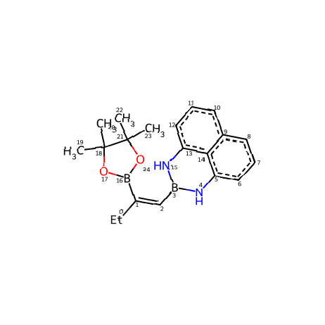 CC/C(=C/B1Nc2cccc3cccc(c23)N1)B1OC(C)(C)C(C)(C)O1